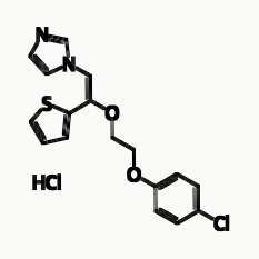 Cl.Clc1ccc(OCCOC(=Cn2ccnc2)c2cccs2)cc1